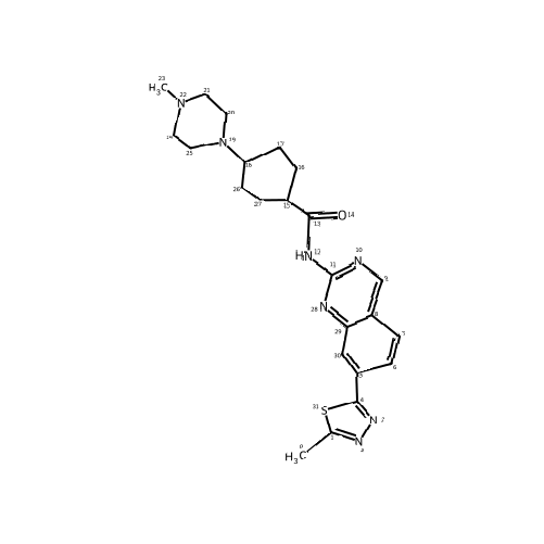 Cc1nnc(-c2ccc3cnc(NC(=O)C4CCC(N5CCN(C)CC5)CC4)nc3c2)s1